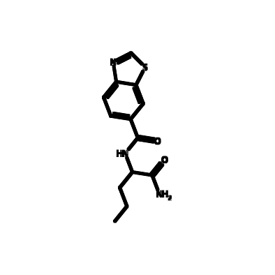 CCCC(NC(=O)c1ccc2ncsc2c1)C(N)=O